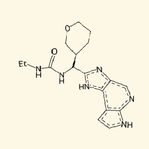 CCNC(=O)NC(c1nc2cnc3[nH]ccc3c2[nH]1)[C@@H]1CCCOC1